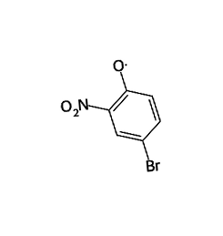 [O]c1ccc(Br)cc1[N+](=O)[O-]